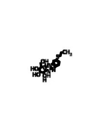 CCCSc1ccc2nc(NC3OC(CO)C(O)C(O)C3O)[nH]c2c1